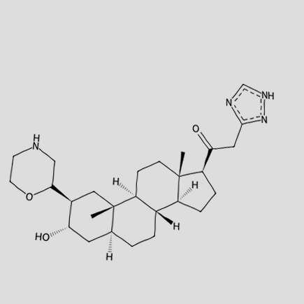 C[C@]12C[C@H](C3CNCCO3)[C@@H](O)C[C@@H]1CC[C@@H]1[C@@H]2CC[C@]2(C)[C@@H](C(=O)Cc3nc[nH]n3)CC[C@@H]12